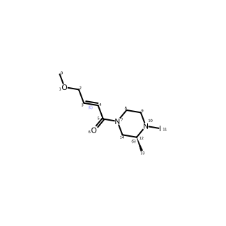 COC/C=C/C(=O)N1CCN(I)[C@@H](C)C1